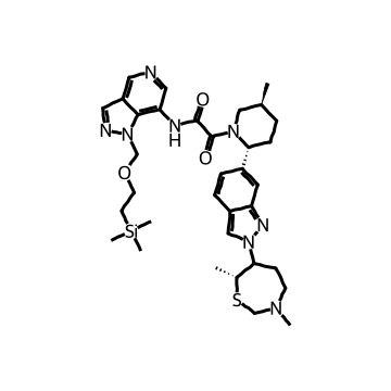 C[C@H]1CC[C@H](c2ccc3cn(C4CCN(C)CS[C@@H]4C)nc3c2)N(C(=O)C(=O)Nc2cncc3cnn(COCC[Si](C)(C)C)c23)C1